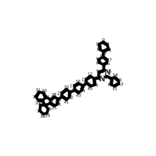 c1ccc(-c2ccc(-c3cc(-c4ccc(-c5ccc(-c6ccc(-c7ccc8c(c7)-c7ccccc7C87CCCCC7)cc6)cc5)cc4)nc(-c4ccccc4)n3)cc2)cc1